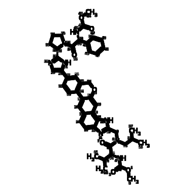 COC(=O)N[C@H](C(=O)N(Cc1nc2ccc3cc4c(cc3c2[nH]1)OCc1cc(-c2cnc([C@@H]3CCCN3C(=O)[C@H](NC(=O)OC)c3ccccc3)[nH]2)ccc1-4)CC(C)C)C(C)C